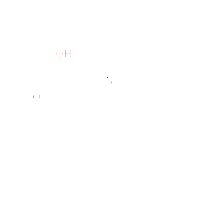 CCCc1nc(C(=O)O)cc2ccccc12